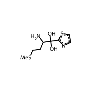 CSCCC(N)C(O)(O)c1nccs1